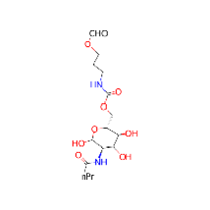 CCCC(=O)N[C@H]1C(O)O[C@H](COC(=O)NCCCOC=O)[C@@H](O)C1O